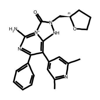 Cc1cc(-c2c(-c3ccccc3)nc(N)[n+]3c(=O)n(C[C@H]4CCCO4)[nH]c23)cc(C)n1